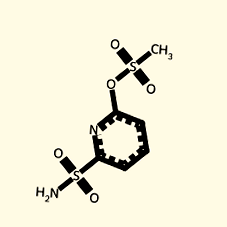 CS(=O)(=O)Oc1cccc(S(N)(=O)=O)n1